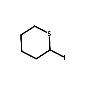 IC1CCCCS1